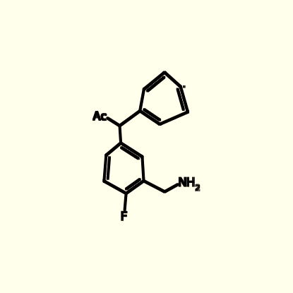 CC(=O)C(c1cc[c]cc1)c1ccc(F)c(CN)c1